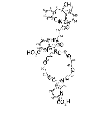 C=C1Cc2ccccc2CN(C(=O)CCNC(=O)C(c2cccc(C(=O)O)n2)N2CCOCCOCCN(Cc3cccc(C(=O)O)n3)CCOCCOCC2)c2ccccc21